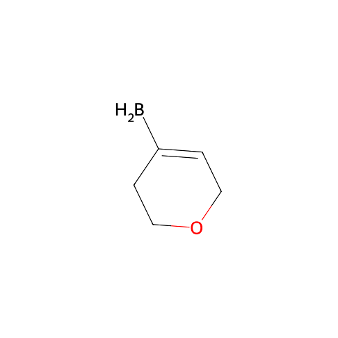 BC1=CCOCC1